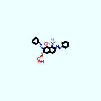 Nc1c(N=Nc2ccccc2)ccc2cc(SOOO)c(N=Nc3ccccc3)c(O)c12